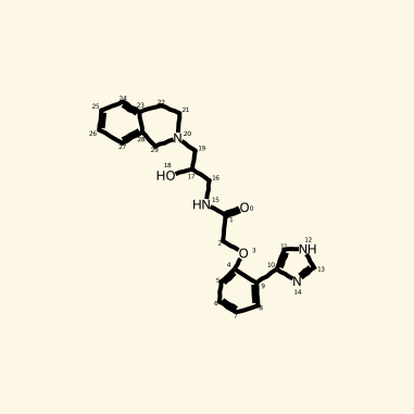 O=C(COc1ccccc1-c1c[nH]cn1)NCC(O)CN1CCc2ccccc2C1